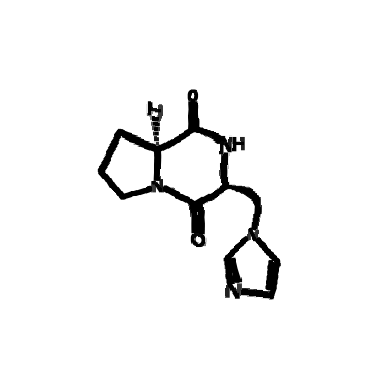 O=C1N[C@@H](Cn2ccnc2)C(=O)N2CCC[C@@H]12